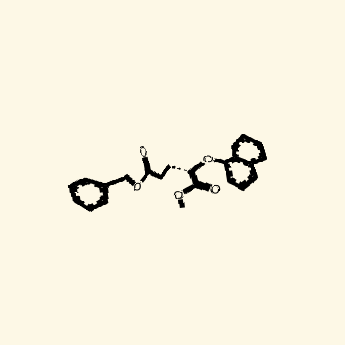 COC(=O)[C@H](CCC(=O)OCc1ccccc1)Oc1cccc2ccccc12